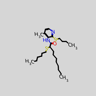 CCCCCCCCC(SCCCCCC)C(=O)Nc1c(C)ccnc1SCCCC